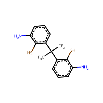 Nc1cccc(C(c2cccc(N)c2S)(C(F)(F)F)C(F)(F)F)c1S